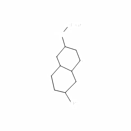 CCCCCOC1CCC2CC(CCC)CCC2C1